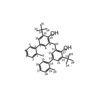 Cc1ccccc1-c1cc(Cc2cc(-c3ccccc3C)cc(C(C)(C)C)c2O)c(O)c(C(C)(C)C)c1